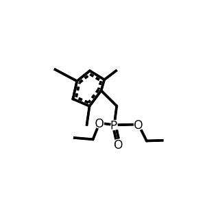 CCOP(=O)(Cc1c(C)cc(C)cc1C)OCC